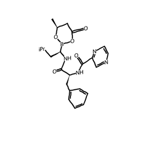 CC(C)C[C@H](NC(=O)[C@H](Cc1ccccc1)NC(=O)c1cnccn1)B1OC(=O)C[C@H](C)O1